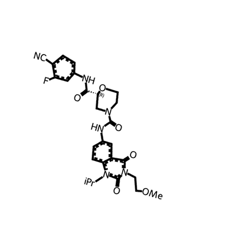 COCCn1c(=O)c2cc(NC(=O)N3CCO[C@@H](C(=O)Nc4ccc(C#N)c(F)c4)C3)ccc2n(C(C)C)c1=O